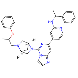 CC(CN1C[C@@H]2C[C@H]1CN2c1nc(-c2ccnc(NC(C)c3ccccc3)c2)cc2nccn12)Oc1ccccc1